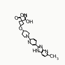 Cc1ccc2[nH]c(-c3ccc(N4CCC(OC5CC(C(=O)O)(C(=O)O)C5)CC4)nc3)nc2n1